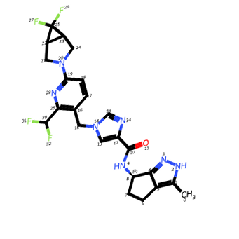 Cc1[nH]nc2c1CC[C@H]2NC(=O)c1cn(Cc2ccc(N3CC4C(C3)C4(F)F)nc2C(F)F)cn1